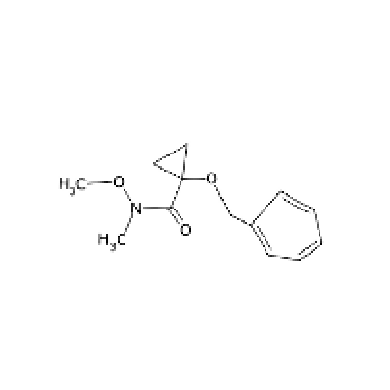 CON(C)C(=O)C1(OCc2ccccc2)CC1